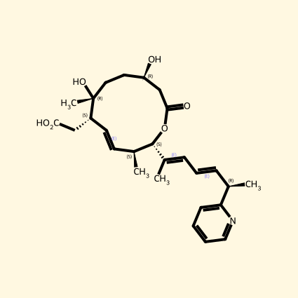 C/C(=C\C=C\[C@@H](C)c1ccccn1)[C@H]1OC(=O)C[C@H](O)CC[C@@](C)(O)[C@@H](CC(=O)O)/C=C/[C@@H]1C